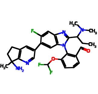 CCC(c1nc2cc(F)c(-c3cnc4c(c3)CCC4(C)N)cc2n1-c1c(C=O)cccc1OC(F)F)N(C)C